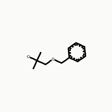 CC(C)([O])COCc1ccccc1